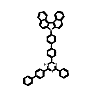 c1ccc(C2=NC(c3ccc(-c4ccc(-n5c6ccc7ccccc7c6c6c7ccccc7ccc65)cc4)cc3)NC(c3ccc(-c4ccccc4)cc3)=N2)cc1